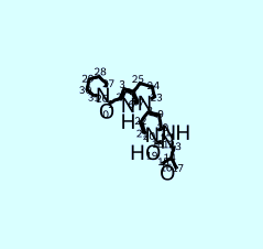 O=C(c1cc2c([nH]1)N(C1=CC3NN(CC4COC4)C(O)N3C=C1)CCC2)N1CCCCC1